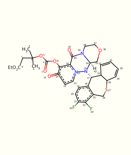 CCOC(=O)CC(C)(C)OC(=O)Oc1c2n(ccc1=O)N([C@H]1c3ccc(F)c(F)c3CSC3C=CC=CC31)[C@@H]1COCCN1C2=O